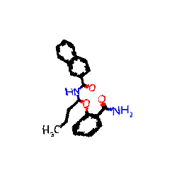 CCCC(NC(=O)c1ccc2ccccc2c1)Oc1ccccc1C(N)=O